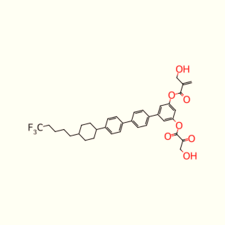 C=C(CO)C(=O)Oc1cc(OC(=O)C(=O)CO)cc(-c2ccc(-c3ccc(C4CCC(CCCCC(F)(F)F)CC4)cc3)cc2)c1